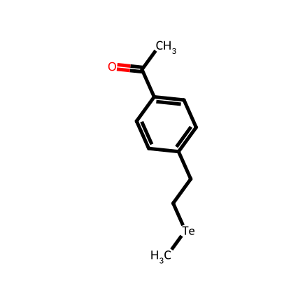 C[Te]CCc1ccc(C(C)=O)cc1